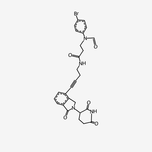 O=CN(CCC(=O)NCCC#Cc1cccc2c1CN(C1CCC(=O)NC1=O)C2=O)c1ccc(Br)cc1